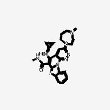 CNC(=O)c1c(NC2CC2)c2cc(N3CCCN(C)CC3)nnc2n2c1nc1ccccc12